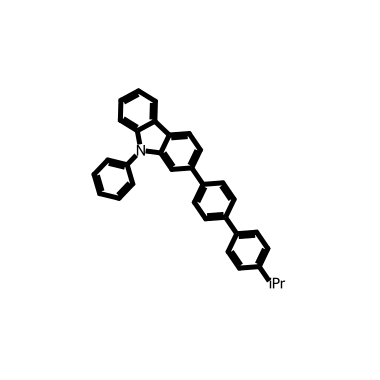 CC(C)c1ccc(-c2ccc(-c3ccc4c5ccccc5n(-c5ccccc5)c4c3)cc2)cc1